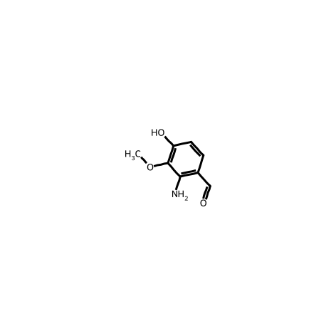 COc1c(O)ccc(C=O)c1N